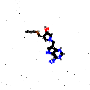 CCCCCCCSC[C@H]1CN(Cc2c[nH]c3c(N)ncnc23)CC1O